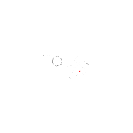 CCCCCCCCCc1ccc(OCC2(C3(C4(S(=O)(=O)[O-])CCO4)CCO3)CCO2)cc1.[Na+]